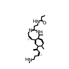 C=C(/C=C\CCNC)C1C=C2/C=C\C/N=C(/CCNC(=O)CC)NC(C)C2=C=CC1C